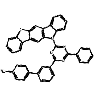 N#Cc1ccc(-c2cccc(-c3nc(-c4ccccc4)nc(-n4c5ccccc5c5cc6sc7ccccc7c6cc54)n3)c2)cc1